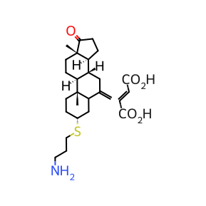 C=C1C[C@@H]2[C@H](CC[C@]3(C)C(=O)CC[C@@H]23)[C@@]2(C)CC[C@@H](SCCCN)CC12.O=C(O)/C=C/C(=O)O